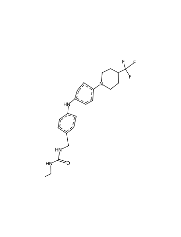 CCNC(=O)NCc1ccc(Nc2ccc(N3CCC(C(F)(F)F)CC3)cc2)cc1